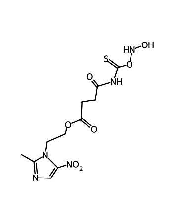 Cc1ncc([N+](=O)[O-])n1CCOC(=O)CCC(=O)NC(=S)ONO